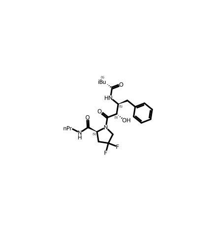 CCCNC(=O)[C@@H]1CC(F)(F)CN1C(=O)[C@@H](O)[C@H](Cc1ccccc1)NC(=O)[C@@H](C)CC